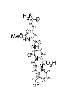 COC(=O)NC(CCC=CC(N)=O)C(=O)Nc1cccn(Cc2cc3c(CC(C)C)cccc3n2C(=O)O)c1=O